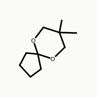 CC1(C)COC2(CCCC2)OC1